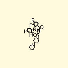 O=C(c1ccc(F)c(F)c1Nc1ccc(I)cc1F)N1CC(O)(CN2CCC(N3CCCCC3)CC2)C1